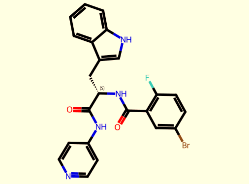 O=C(N[C@@H](Cc1c[nH]c2ccccc12)C(=O)Nc1ccncc1)c1cc(Br)ccc1F